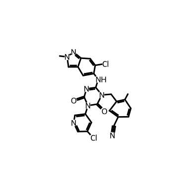 Cc1ccc(C#N)cc1Cn1c(Nc2cc3cn(C)nc3cc2Cl)nc(=O)n(-c2cncc(Cl)c2)c1=O